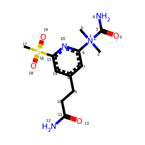 C[N+](C)(C(N)=O)c1cc([CH]CC(N)=O)cc(S(C)(=O)=O)n1